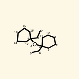 CCC1(OC2(CC)CCCCC2)CCCCC1